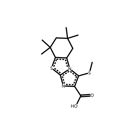 CSc1c(C(=O)O)nc2sc3c(n12)CC(C)(C)CC3(C)C